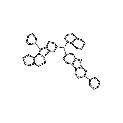 c1ccc(-c2ccc3c(c2)oc2cc(N(c4ccc5c(-c6ccccc6)c6c7ccccc7ccn6c5c4)c4cccc5ccccc45)ccc23)cc1